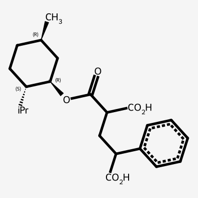 CC(C)[C@@H]1CC[C@@H](C)C[C@H]1OC(=O)C(CC(C(=O)O)c1ccccc1)C(=O)O